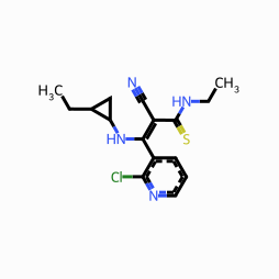 CCNC(=S)C(C#N)=C(NC1CC1CC)c1cccnc1Cl